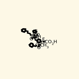 CN(C(=O)OCc1ccccc1)c1cc(C[C@H](NS(=O)(=O)c2ccccc2)C(=O)NCCCCc2ccccc2)ccc1OC(F)C(=O)O